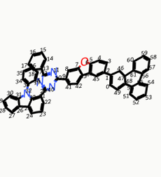 C1=C(c2ccc3oc4cc(-c5nc(-c6ccccc6)nc(-c6cccc7c8ccccc8n(-c8ccccc8)c67)n5)ccc4c3c2)CC2C(=C1)c1ccccc1-c1ccccc12